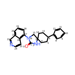 O=C1NC2(CCC(c3ccccc3)CC2)CN1c1cccc2cnccc12